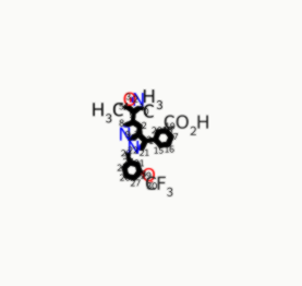 Cc1noc(C)c1-c1cnc2c(c1)c(-c1cccc(C(=O)O)c1)cn2Cc1cccc(OC(F)(F)F)c1